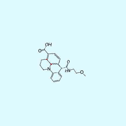 COCCNC(=O)C(c1ccc(C(=O)O)cc1)c1ccccc1N1CCCCC1